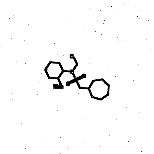 CNC1CCCCC1N(CCl)S(=O)(=O)CC1CCCCCC1